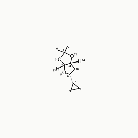 CC1(C)O[C@H]2O[C@@H](C3CC3)C[C@H]2O1